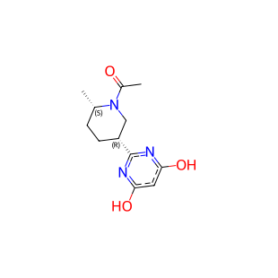 CC(=O)N1C[C@H](c2nc(O)cc(O)n2)CC[C@@H]1C